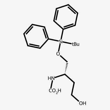 CC(C)(C)[Si](OC[C@H](CCO)NC(=O)O)(c1ccccc1)c1ccccc1